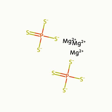 S=P([S-])([S-])[S-].S=P([S-])([S-])[S-].[Mg+2].[Mg+2].[Mg+2]